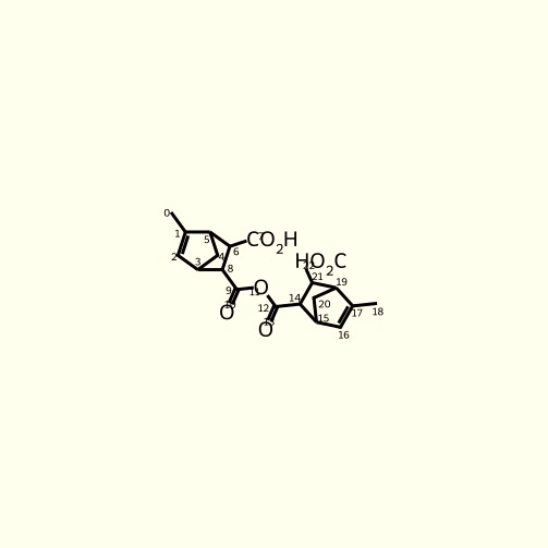 CC1=CC2CC1C(C(=O)O)C2C(=O)OC(=O)C1C2C=C(C)C(C2)C1C(=O)O